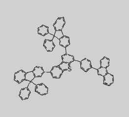 c1ccc(C2(c3ccccc3)c3ccccc3-c3ccc(-c4ccc5sc6c(-c7ccc(-c8cc9ccccc9c9ccccc89)cc7)cc(-c7ccc8c(c7)C(c7ccccc7)(c7ccccc7)c7ccccc7-8)cc6c5c4)cc32)cc1